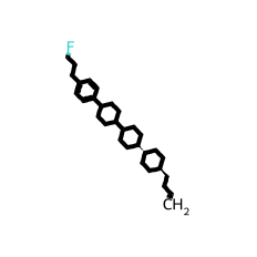 C=CCC[C@H]1CC[C@H](C2CCC(C3CCC(c4ccc(CCCF)cc4)CC3)CC2)CC1